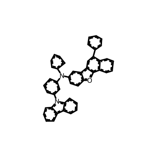 c1ccc(-c2cc3c4cc(N(c5ccccc5)c5cccc(-n6c7ccccc7c7ccccc76)c5)ccc4oc3c3ccccc23)cc1